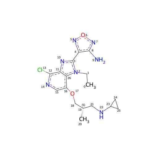 CCn1c(-c2nonc2N)nc2c(Cl)ncc(OC[C@@H](C)CNC3CC3)c21